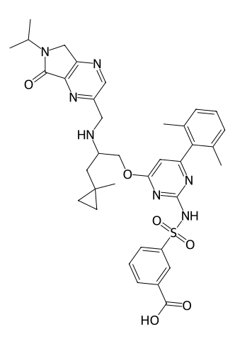 Cc1cccc(C)c1-c1cc(OCC(CC2(C)CC2)NCc2cnc3c(n2)C(=O)N(C(C)C)C3)nc(NS(=O)(=O)c2cccc(C(=O)O)c2)n1